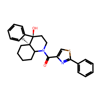 O=C(c1csc(-c2ccccc2)n1)N1CC[C@@](O)(c2ccccc2)[C@@H]2CCCCC21